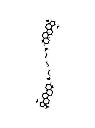 CC(C)[C@H]1CC[C@@]2(C(=O)O)CC[C@@]3(C)C(CCC4[C@]5(C)CC[C@@H](OC(=O)NCCOCCOCCNC(=O)O[C@@H]6CC[C@@]7(C)C(CC[C@]8(C)C7CCC7C9[C@H](C(C)C)CCC9(C(=O)O)CC[C@]78C)C6(C)C)C(C)(C)C5CC[C@@]43C)C12